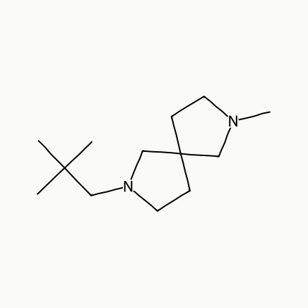 CN1CCC2(CCN(CC(C)(C)C)C2)C1